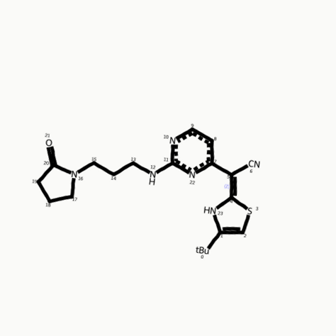 CC(C)(C)C1=CS/C(=C(\C#N)c2ccnc(NCCCN3CCCC3=O)n2)N1